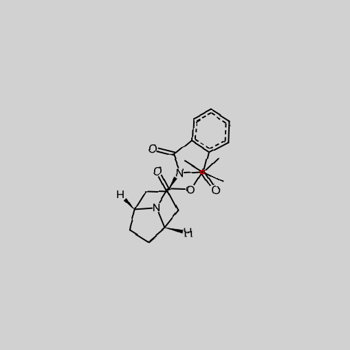 CC(C)(C)OC(=O)N1[C@@H]2CC[C@H]1C[C@H](N1C(=O)c3ccccc3C1=O)C2